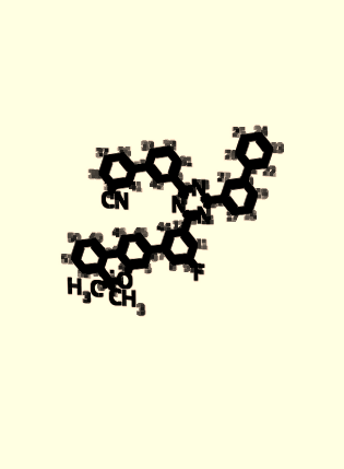 CC1(C)Oc2cc(-c3cc(F)cc(-c4nc(-c5cccc(-c6ccccc6)c5)nc(-c5cccc(-c6cccc(C#N)c6)c5)n4)c3)ccc2-c2ccccc21